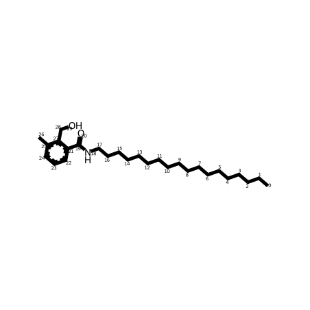 CCCCCCCCCCCCCCCCCCNC(=O)c1cccc(C)c1CO